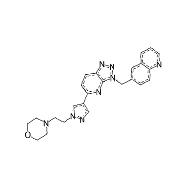 c1cnc2ccc(Cn3nnc4ccc(-c5cnn(CCN6CCOCC6)c5)nc43)cc2c1